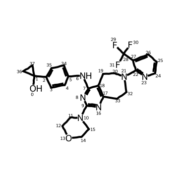 OC1(c2ccc(Nc3nc(N4CCOCC4)nc4c3CCN(c3ncccc3C(F)(F)F)CC4)cc2)CC1